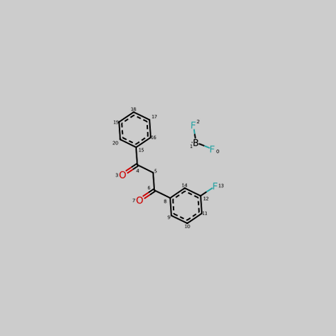 F[B]F.O=C(CC(=O)c1cccc(F)c1)c1ccccc1